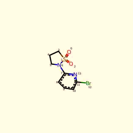 O=S1(=O)CCCN1c1cccc(Br)n1